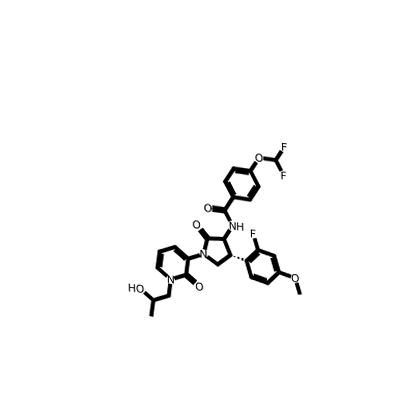 COc1ccc([C@@H]2CN(c3cccn(CC(C)O)c3=O)C(=O)C2NC(=O)c2ccc(OC(F)F)cc2)c(F)c1